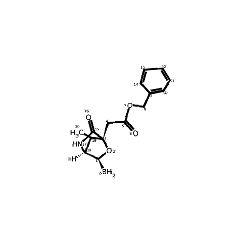 B[C@@H]1O[C@@]2(CC(=O)OCc3ccccc3)C(=O)N[C@H]1C2C